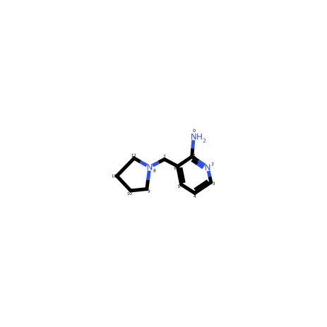 Nc1ncccc1CN1CCCC1